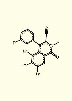 Cn1c(C#N)c(-c2cccc(F)c2)c2c(Br)c(O)c(Br)cc2c1=O